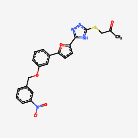 CC(=O)CSc1nnc(-c2ccc(-c3cccc(OCc4cccc([N+](=O)[O-])c4)c3)o2)[nH]1